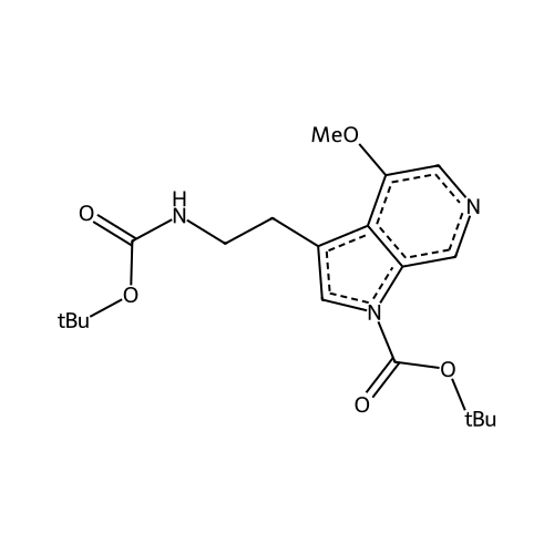 COc1cncc2c1c(CCNC(=O)OC(C)(C)C)cn2C(=O)OC(C)(C)C